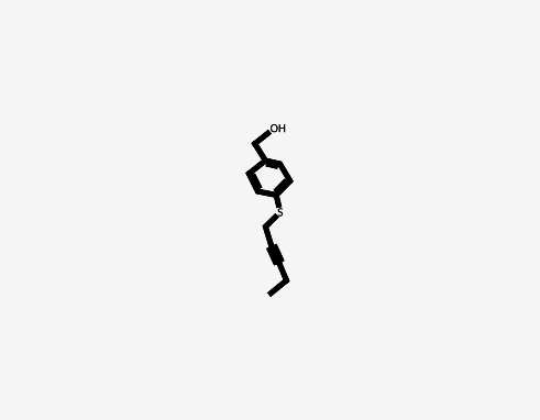 CCC#CCSc1ccc(CO)cc1